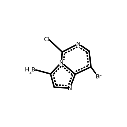 Bc1cnc2c(Br)cnc(Cl)n12